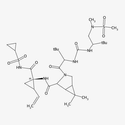 C=CC1C[C@]1(NC(=O)C1C2C(CN1C(=O)C(NC(=O)NC(CN(C)S(C)(=O)=O)C(C)(C)C)C(C)(C)C)C2(C)C)C(=O)NS(=O)(=O)C1CC1